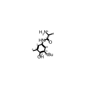 Cc1cc(NC(=O)C(C)N)cc(C(C)(C)C)c1O